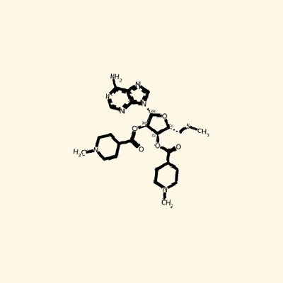 CSC[C@H]1O[C@@H](n2cnc3c(N)ncnc32)[C@H](OC(=O)C2CCN(C)CC2)[C@@H]1OC(=O)C1CCN(C)CC1